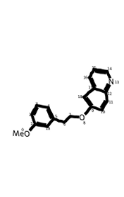 COc1cccc(CCOc2ccc3ncccc3c2)c1